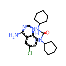 Nc1ncnc2ccc(Cl)cc12.O=C(NC1CCCCC1)NC1CCCCC1